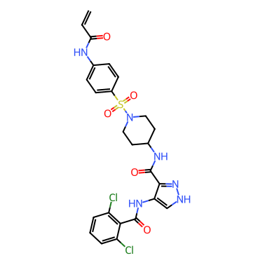 C=CC(=O)Nc1ccc(S(=O)(=O)N2CCC(NC(=O)c3n[nH]cc3NC(=O)c3c(Cl)cccc3Cl)CC2)cc1